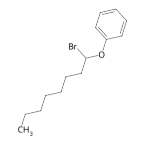 CCCCCCCC(Br)Oc1ccccc1